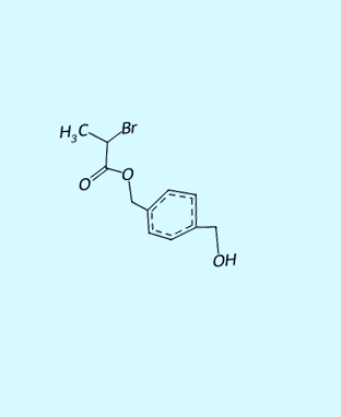 CC(Br)C(=O)OCc1ccc(CO)cc1